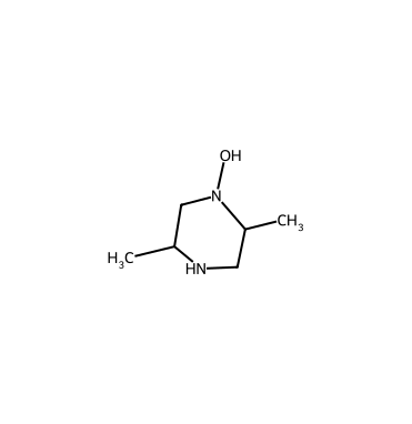 CC1CN(O)C(C)CN1